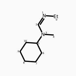 CC/N=C\N(C)C1CCCCC1